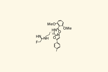 COc1cccc(OC)c1C(=O)N[C@@H](CCCNC(=N)CF)c1ncc(-c2ccc(C)cc2)o1